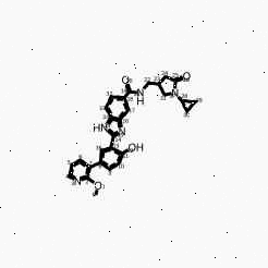 COc1ncccc1-c1ccc(O)c(-c2nc3cc(C(=O)NCC4CC(=O)N(C5CC5)C4)ccc3[nH]2)c1